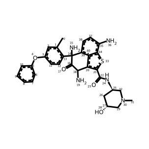 Cc1cc(Oc2ccccc2)ccc1C1(N)C(=O)C(N)c2c(C(=O)N[C@@H]3C[C@@H](O)CN(C)C3)sc3c(N)ccc1c23